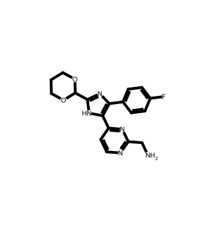 NCc1nccc(-c2[nH]c(C3OCCCO3)nc2-c2ccc(F)cc2)n1